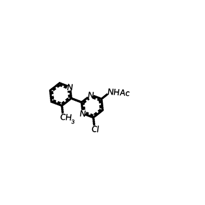 CC(=O)Nc1cc(Cl)nc(-c2ncccc2C)n1